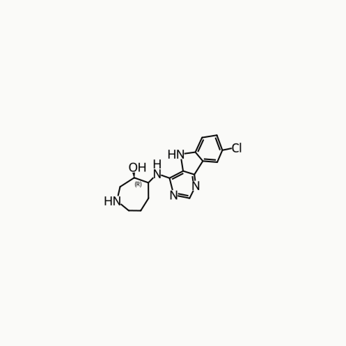 O[C@@H]1CNCCCC1Nc1ncnc2c1[nH]c1ccc(Cl)cc12